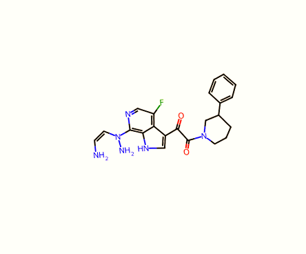 N/C=C\N(N)c1ncc(F)c2c(C(=O)C(=O)N3CCCC(c4ccccc4)C3)c[nH]c12